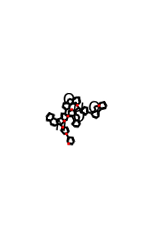 c1ccc(-c2ccc(-n3c4ccc(-c5ccc6oc7cccc(N(c8ccc(-c9cccc%10c9oc9ccccc9%10)cc8)c8cccc9c8oc8ccccc89)c7c6c5)cc4c4c5ccccc5ccc43)cc2)cc1